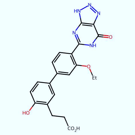 CCOc1cc(-c2ccc(O)c(CCC(=O)O)c2)ccc1-c1nc2[nH]nnc2c(=O)[nH]1